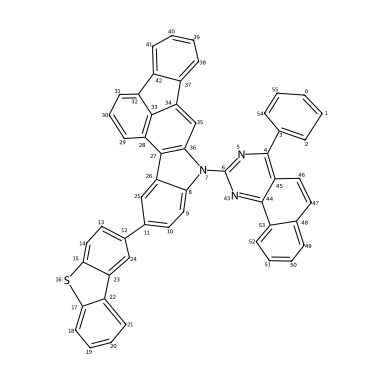 c1ccc(-c2nc(-n3c4ccc(-c5ccc6sc7ccccc7c6c5)cc4c4c5cccc6c5c(cc43)-c3ccccc3-6)nc3c2ccc2ccccc23)cc1